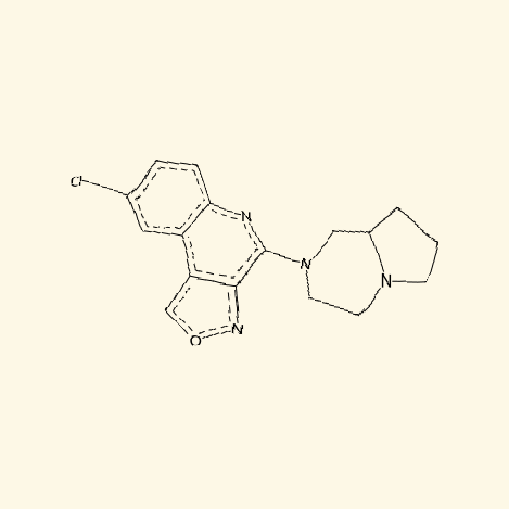 Clc1ccc2nc(N3CCN4CCCC4C3)c3nocc3c2c1